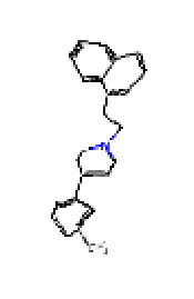 FC(F)(F)c1cccc(C2=CCN(CCc3cccc4ccccc34)CC2)c1